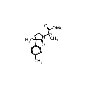 COC(=O)[C@@H](C)N1CCC(C)(c2ccc(C)cc2)C1=O